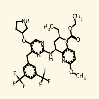 CCOC(=O)N1c2ccc(OC)nc2[C@@H](Nc2ncc(O[C@H]3CCNC3)c(Cc3cc(C(F)(F)F)cc(C(F)(F)F)c3)n2)C[C@H]1CC